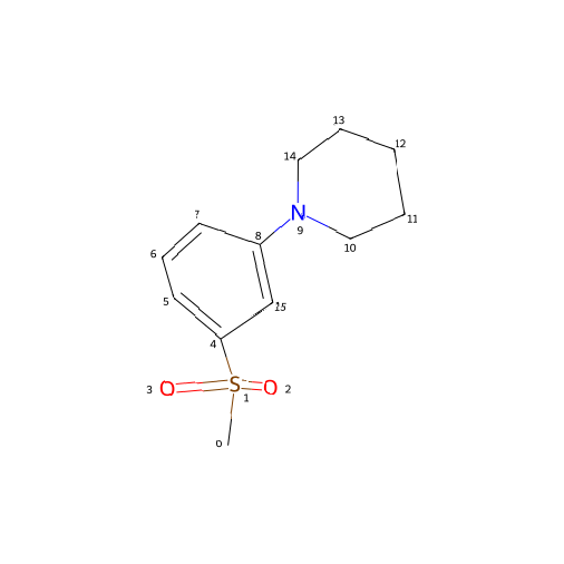 CS(=O)(=O)c1cccc(N2CCCCC2)c1